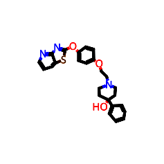 OC1(c2ccccc2)CCN(CCOc2ccc(Oc3nc4ncccc4s3)cc2)CC1